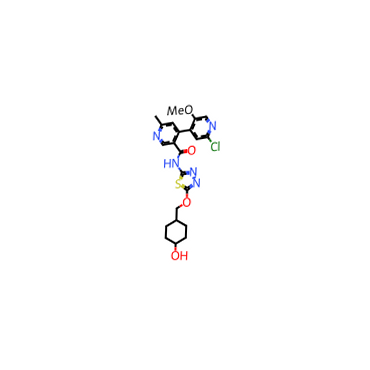 COc1cnc(Cl)cc1-c1cc(C)ncc1C(=O)Nc1nnc(OCC2CCC(O)CC2)s1